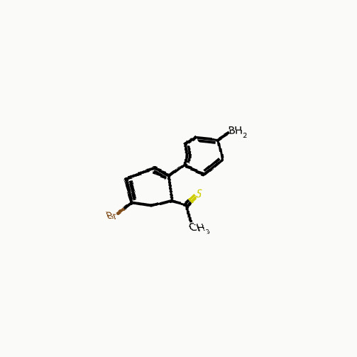 Bc1ccc(C2=CC=C(Br)CC2C(C)=S)cc1